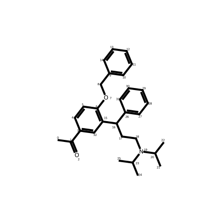 CC(=O)c1ccc(OCc2ccccc2)c(C(CCN(C(C)C)C(C)C)c2ccccc2)c1